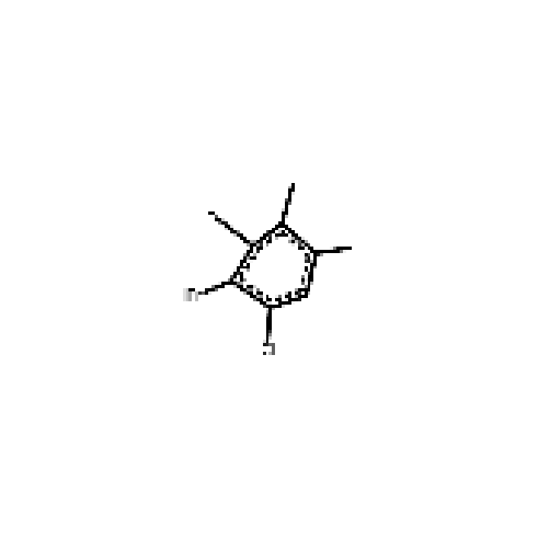 Cc1cc(Cl)c(C(C)C)c(F)c1C